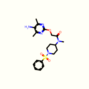 Cc1nc(OCC(=O)N(C)C2CCN(S(=O)(=O)c3ccccc3)CC2)nc(C)c1N